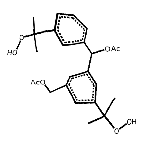 CC(=O)OCc1cc(C(OC(C)=O)c2cccc(C(C)(C)OO)c2)cc(C(C)(C)OO)c1